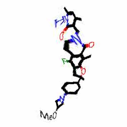 COC1CN(C2CCC(C3(C)Cc4c(F)c5c(c(C)c4O3)C(=O)N(Cc3c(C)cc(C)[nH]c3=O)CC5)CC2)C1